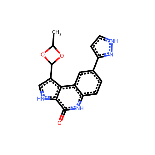 CC1OC(c2c[nH]c3c(=O)[nH]c4ccc(-c5cc[nH]n5)cc4c23)O1